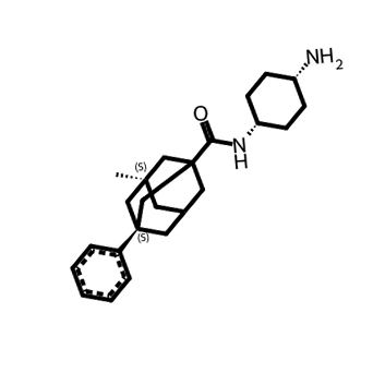 C[C@@]12CC3CC(C(=O)N[C@H]4CC[C@@H](N)CC4)(C1)C[C@](c1ccccc1)(C3)C2